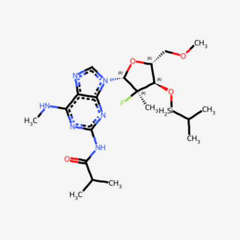 CNc1nc(NC(=O)C(C)C)nc2c1ncn2[C@@H]1O[C@H](COC)[C@@H](O[SiH2]C(C)C)[C@@]1(C)F